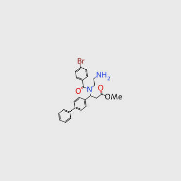 COC(=O)CC(c1ccc(-c2ccccc2)cc1)N(CCN)C(=O)c1ccc(Br)cc1